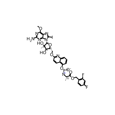 COc1nc(N)nc2c1nc(I)n2[C@@H]1O[C@H](COc2ccc3c(O/[P+]([O-])=N/[C@@H](C)C(=O)OCc4ccc(F)cc4F)cccc3n2)[C@@H](O)[C@@]1(C)O